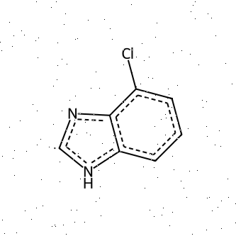 Clc1cccc2[nH][c]nc12